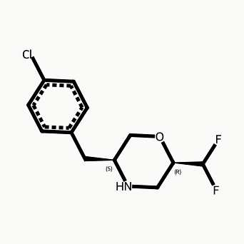 FC(F)[C@H]1CN[C@@H](Cc2ccc(Cl)cc2)CO1